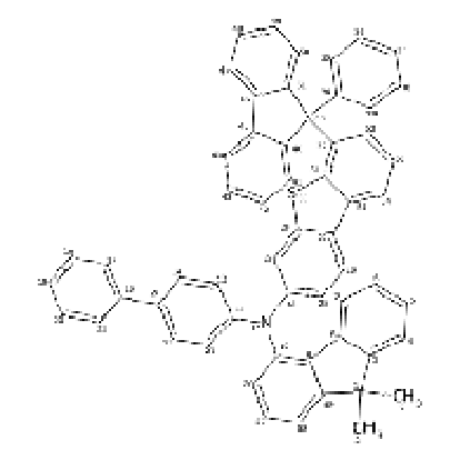 CC1(C)c2ccccc2-c2c(N(c3ccc(-c4ccccc4)cc3)c3ccc4c(c3)sc3c(C5(c6ccccc6)c6ccccc6-c6ccccc65)cccc34)cccc21